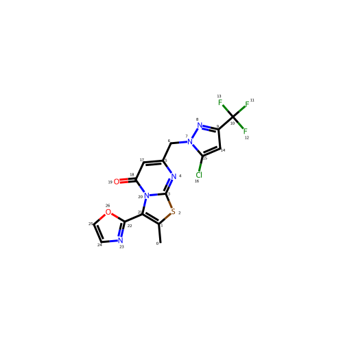 Cc1sc2nc(Cn3nc(C(F)(F)F)cc3Cl)cc(=O)n2c1-c1ncco1